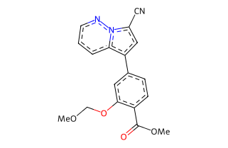 COCOc1cc(-c2cc(C#N)n3ncccc23)ccc1C(=O)OC